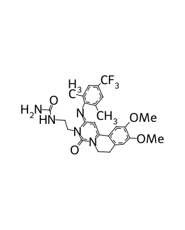 COc1cc2c(cc1OC)-c1c/c(=N\c3c(C)cc(C(F)(F)F)cc3C)n(CCNC(N)=O)c(=O)n1CC2